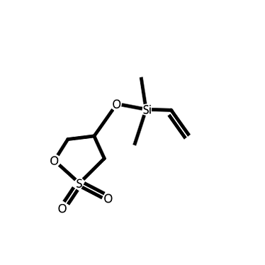 C=C[Si](C)(C)OC1COS(=O)(=O)C1